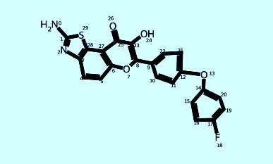 Nc1nc2ccc3oc(-c4ccc(Oc5ccc(F)cc5)cc4)c(O)c(=O)c3c2s1